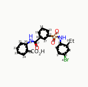 CCc1cc(Br)ccc1NS(=O)(=O)c1cccc(C(=O)Nc2ccccc2C(=O)O)c1